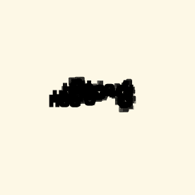 Cc1cc(COc2ccc(S(=O)(=O)N(C)[C@H]3[C@@H](C(=O)NO)[C@H]4C=C[C@@H]3C4)cc2)c2ccccc2n1